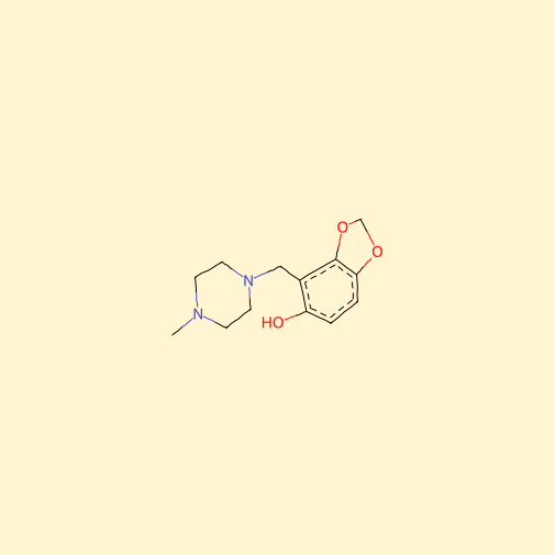 CN1CCN(Cc2c(O)ccc3c2OCO3)CC1